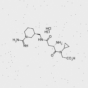 Cl.Cl.N=C(N)N1CCC[C@@H](CNC(=O)C[C@H](N)C(=O)N(CC(=O)O)C2CC2)C1